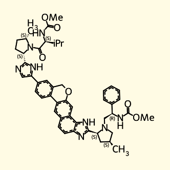 COC(=O)N[C@@H](CN1C[C@@H](C)C[C@H]1c1nc2ccc3cc4c(cc3c2[nH]1)OCc1cc(-c2cnc([C@@H]3CC[C@H](C)N3C(=O)[C@@H](NC(=O)OC)C(C)C)[nH]2)ccc1-4)c1ccccc1